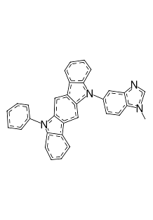 Cn1cnc2cc(-n3c4ccccc4c4cc5c(cc43)c3ccccc3n5-c3ccccc3)ccc21